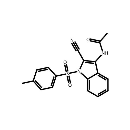 CC(=O)Nc1c(C#N)n(S(=O)(=O)c2ccc(C)cc2)c2ccccc12